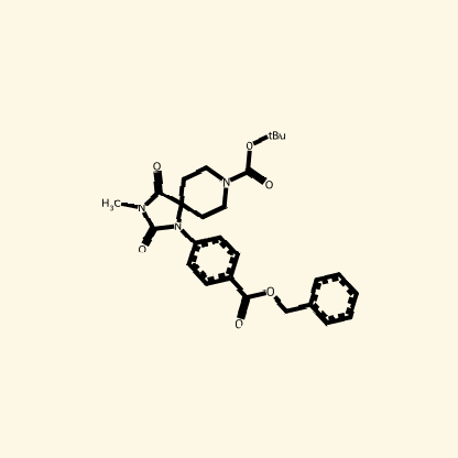 CN1C(=O)N(c2ccc(C(=O)OCc3ccccc3)cc2)C2(CCN(C(=O)OC(C)(C)C)CC2)C1=O